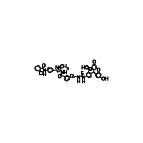 Cn1nc(-c2ccc(NC(=O)c3ccccc3Cl)cc2)cc1NC(=O)c1cccc(OCCNC(=S)Nc2ccc(-c3c4ccc(=O)cc-4oc4cc(O)ccc34)c(C(=O)O)c2)c1